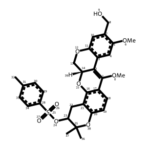 COC1=C2c3cc(OC)c(CO)cc3OC[C@H]2Oc2c1ccc1c2CC(OS(=O)(=O)c2ccc(C)cc2)C(C)(C)O1